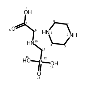 C1CNCCN1.O=C(O)CNCP(=O)(O)O